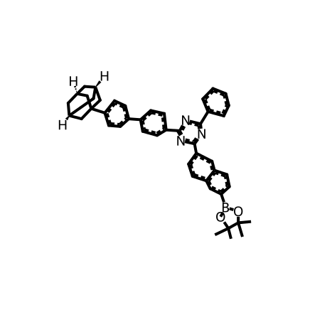 CC1(C)OB(c2ccc3cc(-c4nc(-c5ccccc5)nc(-c5ccc(-c6ccc(C78C[C@H]9C[C@@H](C7)C[C@@H](C8)C9)cc6)cc5)n4)ccc3c2)OC1(C)C